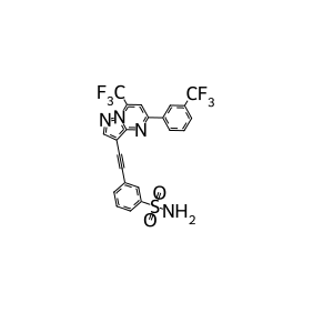 NS(=O)(=O)c1cccc(C#Cc2cnn3c(C(F)(F)F)cc(-c4cccc(C(F)(F)F)c4)nc23)c1